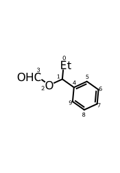 [CH2]CC(OC=O)c1ccccc1